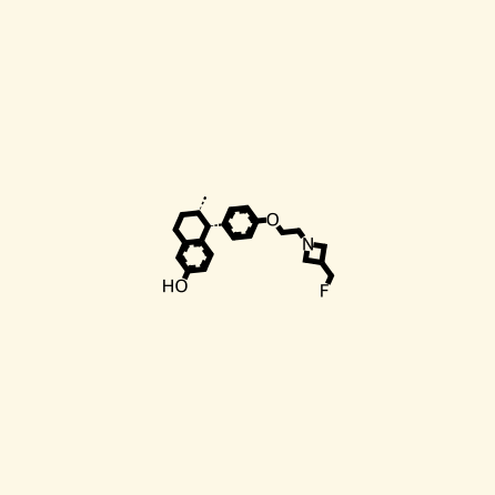 C[C@H]1CCc2cc(O)ccc2[C@H]1c1ccc(OCCN2CC(CF)C2)cc1